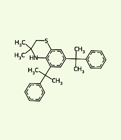 CC1(C)CSc2cc(C(C)(C)c3ccccc3)cc(C(C)(C)c3ccccc3)c2N1